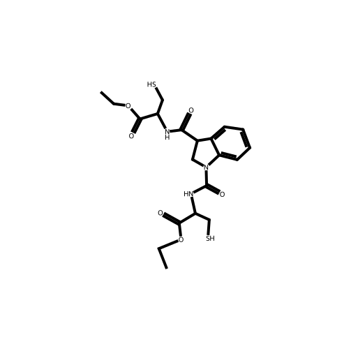 CCOC(=O)C(CS)NC(=O)C1CN(C(=O)NC(CS)C(=O)OCC)c2ccccc21